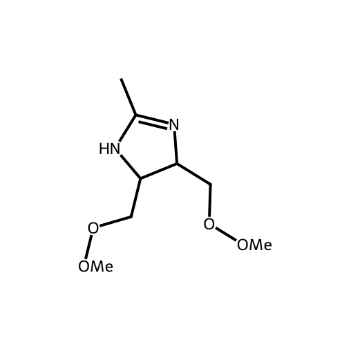 COOCC1N=C(C)NC1COOC